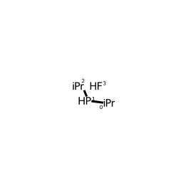 CC(C)PC(C)C.F